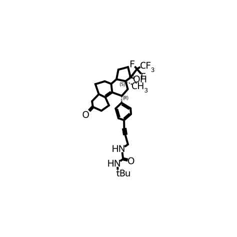 CC(C)(C)NC(=O)NCC#Cc1ccc([C@H]2C[C@@]3(C)C(CC[C@@]3(O)C(F)(F)C(F)(F)F)C3CCC4CC(=O)CCC4=C32)cc1